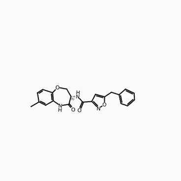 Cc1ccc2c(c1)NC(=O)[C@@H](NC(=O)c1cc(Cc3ccccc3)on1)CO2